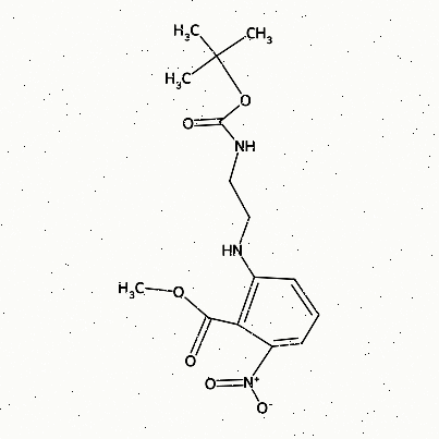 COC(=O)c1c(NCCNC(=O)OC(C)(C)C)cccc1[N+](=O)[O-]